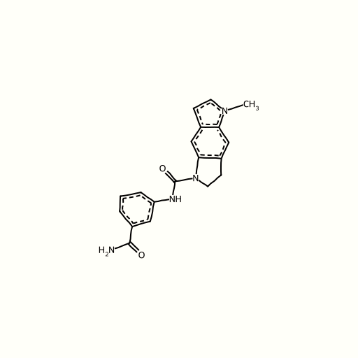 Cn1ccc2cc3c(cc21)CCN3C(=O)Nc1cccc(C(N)=O)c1